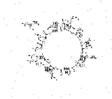 C/C=C/C[C@@H](C)[C@@H](O)[C@H]1C(=O)N[C@@H](CC)C(=O)N(C)[C@H](CSCCCN(C)C)C(=O)N(C)[C@@H](CC(C)(C)OC)C(=O)N[C@@H](C(C)C)C(=O)N(C)[C@@H](CC(C)C)C(=O)N[C@@H](C)C(=O)N[C@H](C)C(=O)N(C)[C@@H](CC(C)C)C(=O)N(C)[C@@H](CC(C)C)C(=O)N(C)[C@@H](C(C)C)C(=O)N1C